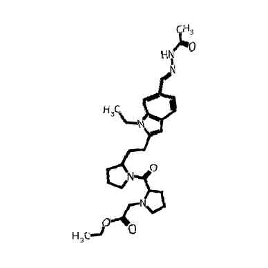 CCOC(=O)CN1CCCC1C(=O)N1CCCC1CCc1cc2ccc(C=NNC(C)=O)cc2n1CC